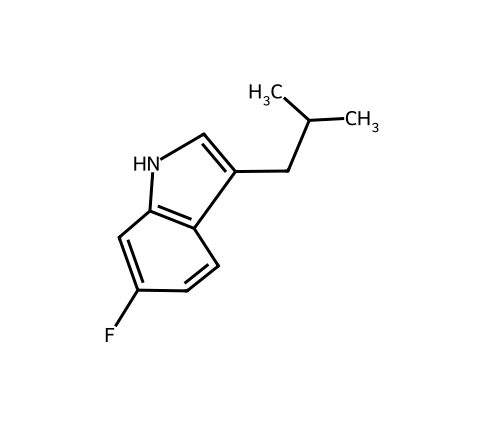 CC(C)Cc1c[nH]c2cc(F)ccc12